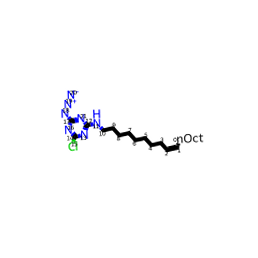 CCCCCCCC/C=C\CCCCCCCCNc1nc(Cl)nc(N=[N+]=[N-])n1